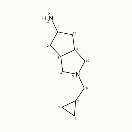 NC1CC2CN(CC3CC3)CC2C1